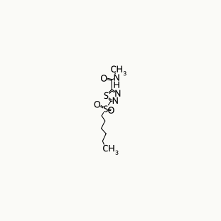 CCCCCCS(=O)(=O)c1nnc(C(=O)NC)s1